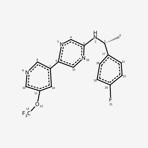 C[C@@H](Nc1cnc(-c2cncc(OC(F)(F)F)c2)cn1)c1ccc(F)cc1